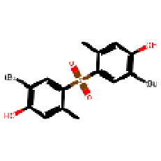 Cc1cc(O)c(C(C)(C)C)cc1S(=O)(=O)c1cc(C(C)(C)C)c(O)cc1C